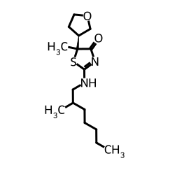 CCCCCC(C)CNC1=NC(=O)C(C)([C@H]2CCOC2)S1